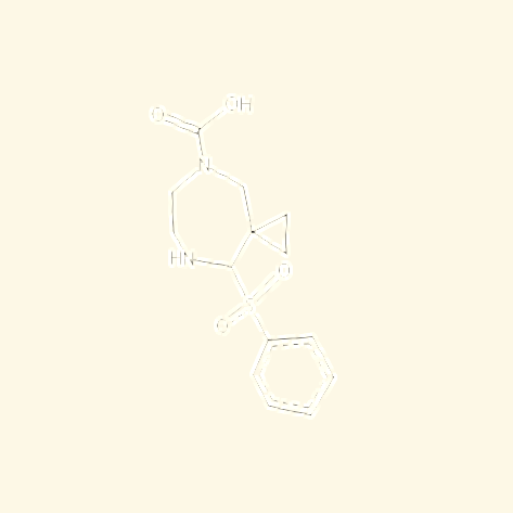 O=C(O)N1CCNC(S(=O)(=O)c2ccccc2)C2(CC2)C1